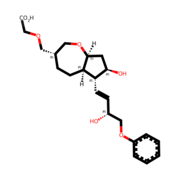 O=C(O)COC[C@H]1CC[C@@H]2[C@@H](C=C[C@@H](O)COc3ccccc3)[C@H](O)C[C@@H]2OC1